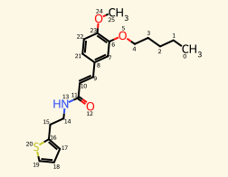 CCCCCOc1cc(C=CC(=O)NCCc2cccs2)ccc1OC